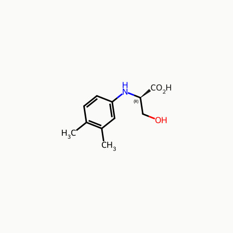 Cc1ccc(N[C@H](CO)C(=O)O)cc1C